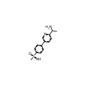 CC(N)c1ccc(-c2ccc(S(C)(=N)=O)cc2)cn1